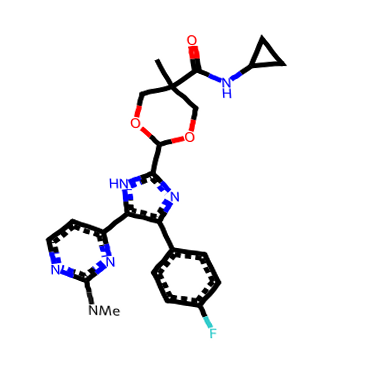 CNc1nccc(-c2[nH]c(C3OCC(C)(C(=O)NC4CC4)CO3)nc2-c2ccc(F)cc2)n1